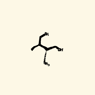 C[C@@H](CS)[C@@H](N)CO